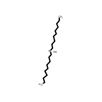 CCCCCCCCC[CH2][Al][CH2]CCCCCCCCC.[HH]